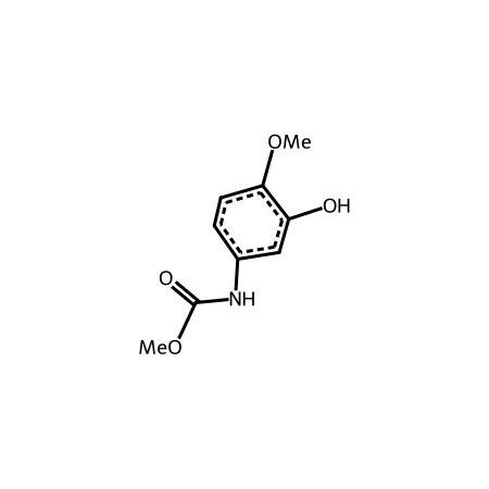 COC(=O)Nc1ccc(OC)c(O)c1